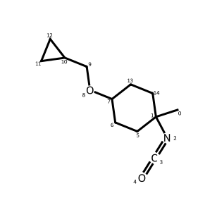 CC1(N=C=O)CCC(OCC2CC2)CC1